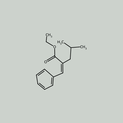 CCOC(=O)/C(=C\c1ccccc1)CC(C)C